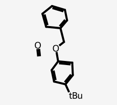 C=O.CC(C)(C)c1ccc(OCc2ccccc2)cc1